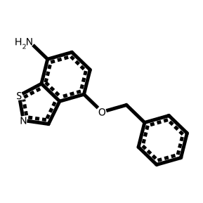 Nc1ccc(OCc2ccccc2)c2cnsc12